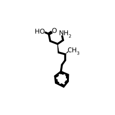 C[C@H](CCc1ccccc1)C[C@H](CN)CC(=O)O